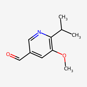 COc1cc(C=O)cnc1C(C)C